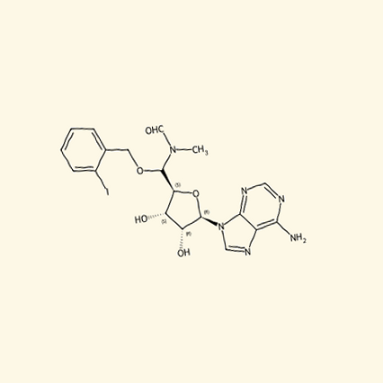 CN(C=O)C(OCc1ccccc1I)[C@H]1O[C@@H](n2cnc3c(N)ncnc32)[C@H](O)[C@@H]1O